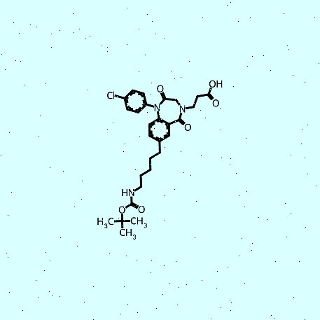 CC(C)(C)OC(=O)NCCCCCc1ccc2c(c1)C(=O)N(CCC(=O)O)CC(=O)N2c1ccc(Cl)cc1